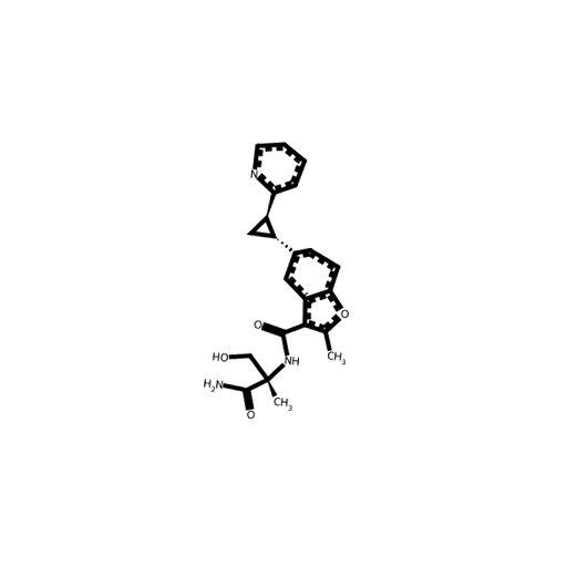 Cc1oc2ccc([C@@H]3C[C@H]3c3ccccn3)cc2c1C(=O)N[C@@](C)(CO)C(N)=O